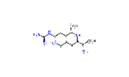 N=C(N)NCCC[C@H](NC(CCCN)[C@H](N)C(=O)O)C(=O)O